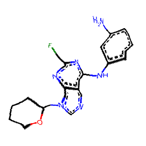 Nc1cccc(Nc2nc(F)nc3c2ncn3C2CCCCO2)c1